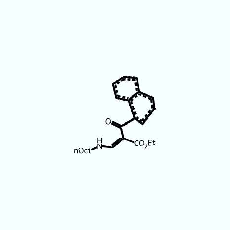 CCCCCCCCN/C=C(/C(=O)OCC)C(=O)c1cccc2ccccc12